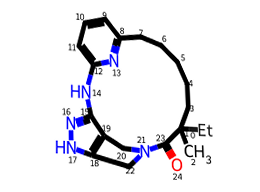 CCC1(C)CCCCCc2cccc(n2)Nc2n[nH]c3c2CN(C3)C1=O